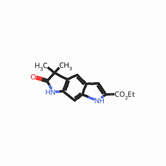 CCOC(=O)c1cc2cc3c(cc2[nH]1)NC(=O)C3(C)C